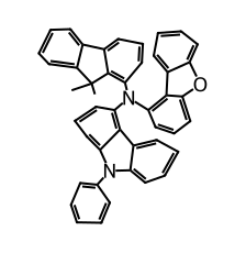 CC1(C)c2ccccc2-c2cccc(N(c3cccc4oc5ccccc5c34)c3cccc4c3c3ccccc3n4-c3ccccc3)c21